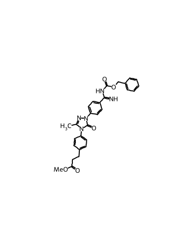 COC(=O)CCc1ccc(-n2c(C)nn(-c3ccc(C(=N)NC(=O)OCc4ccccc4)cc3)c2=O)cc1